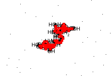 CN1C(=O)C(C(=O)c2cccc(S(=O)(=O)O)c2)=C2c3ccccc3C(=O)C3=C(Nc4cc(NC5=NC(NC6CCCC(CC7CCCC(Nc8nc(N)nc(Nc9cc(NC%10=C%11C(=O)c%12ccccc%12C%12=C(C(=O)c%13cccc(SOOO)c%13)C(=O)N(C)C(C=C%10)C%11%12)c(SOOO)cc9S(=O)(=O)O)n8)C7)C6)NC(N)=N5)ccc4SOOO)C=CC1C32